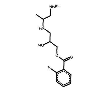 CC(=O)NCC(C)NCC(O)COC(=O)c1ccccc1F